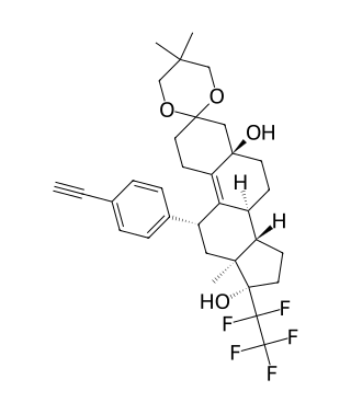 C#Cc1ccc([C@H]2C[C@@]3(C)[C@@H](CC[C@@]3(O)C(F)(F)C(F)(F)F)[C@@H]3CC[C@@]4(O)CC5(CCC4=C32)OCC(C)(C)CO5)cc1